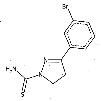 NC(=S)N1CCC(c2cccc(Br)c2)=N1